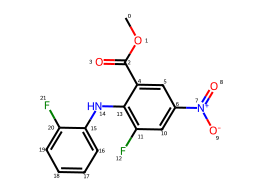 COC(=O)c1cc([N+](=O)[O-])cc(F)c1Nc1ccccc1F